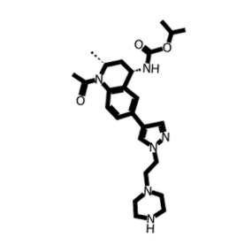 CC(=O)N1c2ccc(-c3cnn(CCN4CCNCC4)c3)cc2[C@@H](NC(=O)OC(C)C)C[C@H]1C